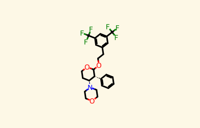 FC(F)(F)c1cc(CCOC2OCC[C@@H](N3CCOCC3)[C@H]2c2ccccc2)cc(C(F)(F)F)c1